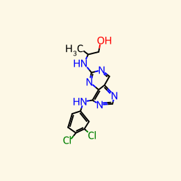 CC(CO)Nc1ncc2ncnc(Nc3ccc(Cl)c(Cl)c3)c2n1